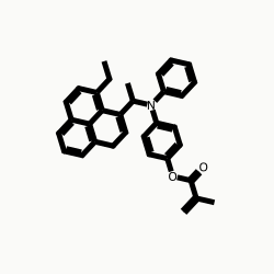 C=C(C)C(=O)Oc1ccc(N(c2ccccc2)C(C)C2=CCc3cccc4ccc(CC)c2c34)cc1